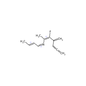 C=C=CC(=C)\C(F)=C(C)/N=C\C=C\C